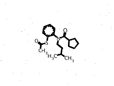 CC(=O)Sc1ccccc1N(CCC(C)C)C(=O)C1CCCC1